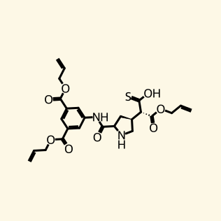 C=CCOC(=O)c1cc(NC(=O)C2C[C@@H]([C@@H](C(=O)OCC=C)C(O)=S)CN2)cc(C(=O)OCC=C)c1